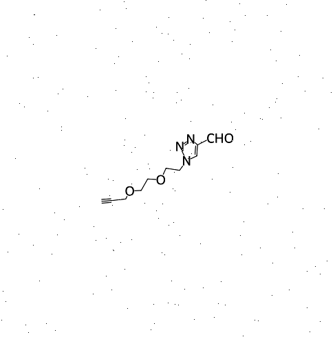 C#CCOCCOCCn1cc(C=O)nn1